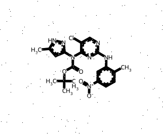 Cc1cc(N(C(=O)OC(C)(C)C)c2nc(Nc3cc([N+](=O)[O-])ccc3C)ncc2Cl)n[nH]1